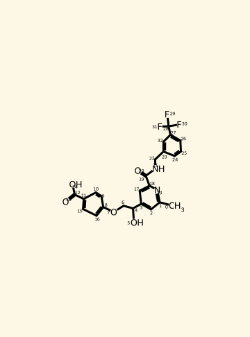 Cc1cc(C(O)COc2ccc(C(=O)O)cc2)cc(C(=O)NCc2cccc(C(F)(F)F)c2)n1